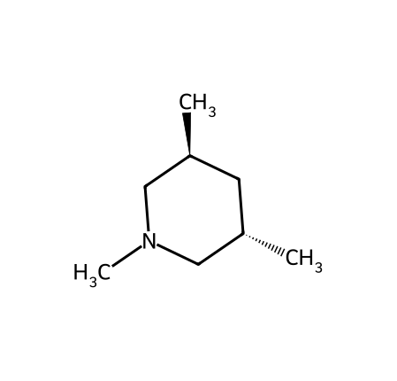 C[C@H]1C[C@H](C)CN(C)C1